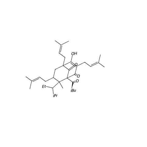 CCC(C(C)C)C1(C)C(CC=C(C)C)CC2(CC=C(C)C)C(=O)C1(C(=O)[C@H](C)CC)C(=O)C(CC=C(C)C)=C2O